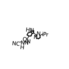 CC(C)c1ccnc(-c2c[nH]c3ccc(-c4nnc(NCC#N)o4)cc23)n1